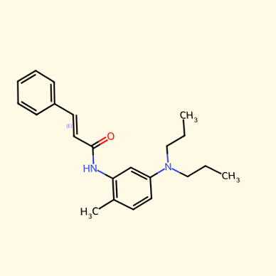 CCCN(CCC)c1ccc(C)c(NC(=O)/C=C/c2ccccc2)c1